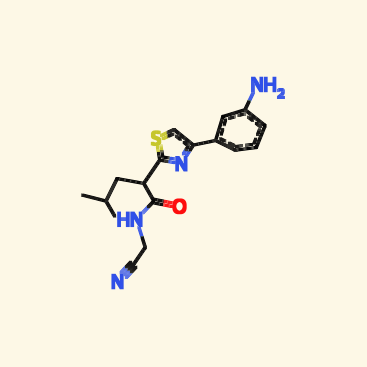 CC(C)CC(C(=O)NCC#N)c1nc(-c2cccc(N)c2)cs1